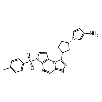 Cc1ccc(S(=O)(=O)n2ccc3c2ncc2nnc([C@@H]4CC[C@H](n5ccc(N)c5)C4)n23)cc1